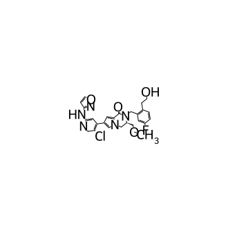 COC[C@H]1Cn2cc(-c3cc(Nc4ccon4)ncc3Cl)cc2C(=O)N1Cc1cc(F)ccc1CCO